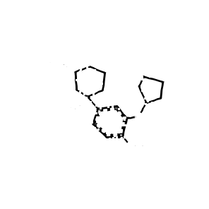 COc1ccc([C@]2(C#N)CCC[C@@H](C(=O)O)C2)cc1OC1CCCC1